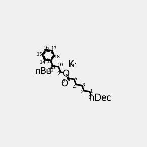 CCCCCCCCCCCCCCCC(=O)OCCC(CCCC)c1ccccc1.[K]